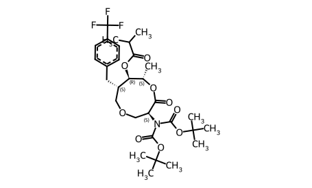 CC(C)C(=O)O[C@@H]1[C@@H](Cc2ccc(C(F)(F)F)cc2)COC[C@H](N(C(=O)OC(C)(C)C)C(=O)OC(C)(C)C)C(=O)O[C@H]1C